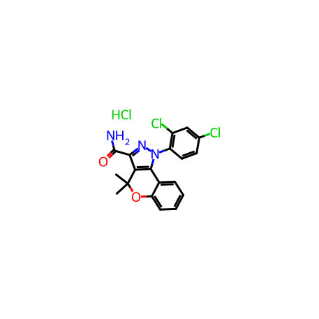 CC1(C)Oc2ccccc2-c2c1c(C(N)=O)nn2-c1ccc(Cl)cc1Cl.Cl